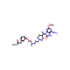 CCCCOc1nc(N)c2[nH]c(=O)n(C(C)C3CCN(CCCN(C)CCOc4cccc(CC(=O)OC)c4)CC3)c2n1